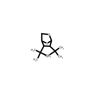 CC(C)(C)C1C2COC(S2)C1C(C)(C)C